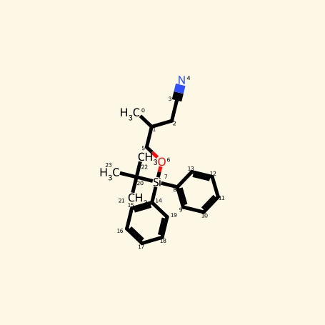 CC(CC#N)CO[Si](c1ccccc1)(c1ccccc1)C(C)(C)C